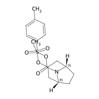 CCOC(=O)N1[C@@H]2CC[C@H]1CC(OS(=O)(=O)c1ccc(C)cc1)C2